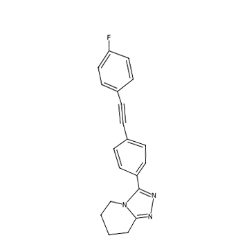 Fc1ccc(C#Cc2ccc(-c3nnc4n3CCCC4)cc2)cc1